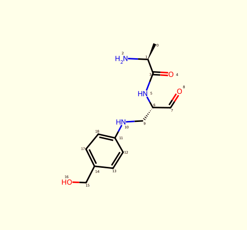 C[C@H](N)C(=O)N[C@H](C=O)CNc1ccc(CO)cc1